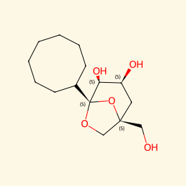 OC[C@@]12CO[C@@](C3CCCCCCC3)(O1)[C@@H](O)[C@@H](O)C2